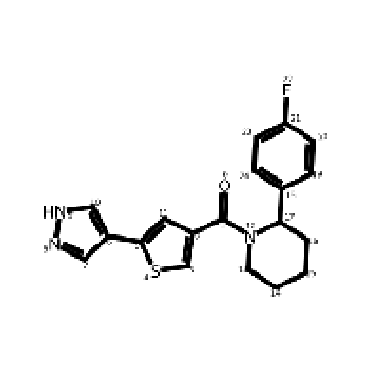 O=C(c1csc(-c2cn[nH]c2)c1)N1CCCCC1c1ccc(F)cc1